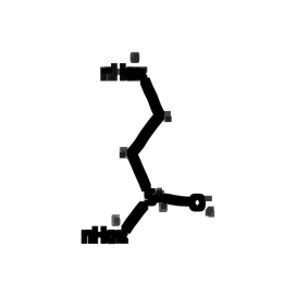 CCCCCCCC[S+]([O-])CCCCCC